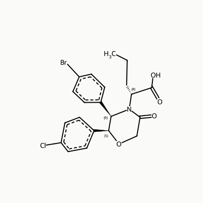 CCC[C@H](C(=O)O)N1C(=O)CO[C@@H](c2ccc(Cl)cc2)[C@H]1c1ccc(Br)cc1